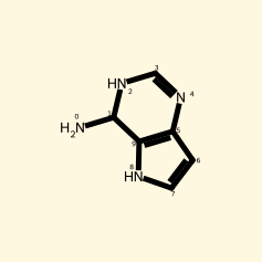 NC1NC=Nc2cc[nH]c21